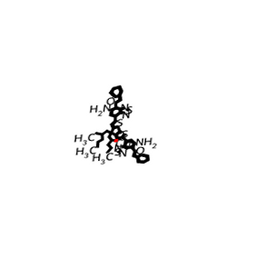 CCCCC(CC)CC1(CC(CC)CCCC)c2cc(-c3cc(N)c(-c4cc5ccccc5o4)c4nsnc34)sc2-c2sc(-c3cc(N)c(-c4cc5ccccc5o4)c4nsnc34)cc21